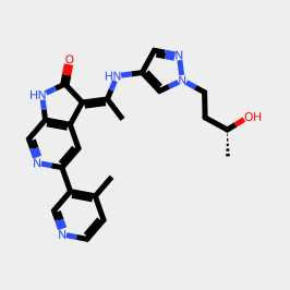 C/C(Nc1cnn(CC[C@@H](C)O)c1)=C1/C(=O)Nc2cnc(-c3cnccc3C)cc21